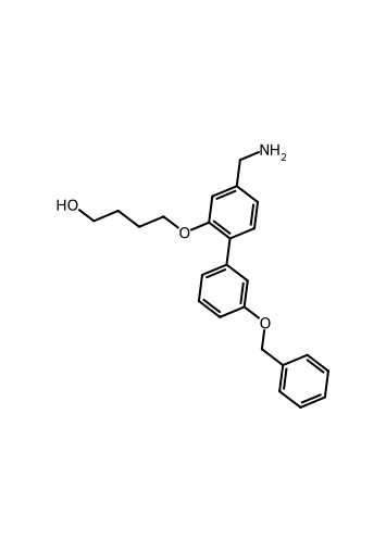 NCc1ccc(-c2cccc(OCc3ccccc3)c2)c(OCCCCO)c1